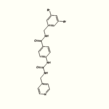 O=C(NCc1ccncc1)Nc1ccc(C(=O)NCc2cc(Br)cc(Br)c2)cc1